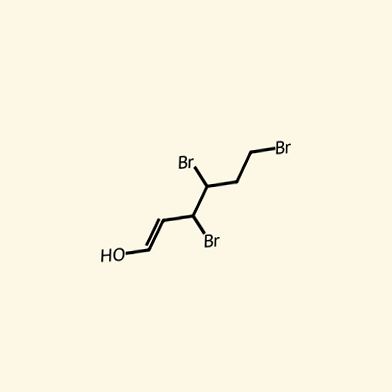 OC=CC(Br)C(Br)CCBr